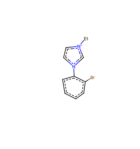 CC[n+]1ccn(-c2ccccc2Br)c1